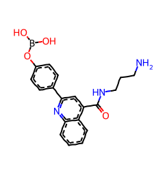 NCCCNC(=O)c1cc(-c2ccc(OB(O)O)cc2)nc2ccccc12